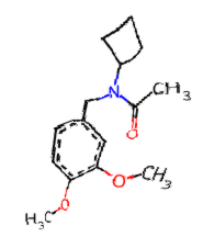 COc1ccc(CN(C(C)=O)C2CCC2)cc1OC